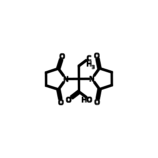 CCC(C(=O)O)(N1C(=O)CCC1=O)N1C(=O)CCC1=O